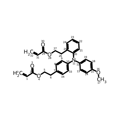 C=CC(=O)OCCc1ccc(N(c2ccc(OC)cc2)c2ccccc2CCOC(=O)C=C)cc1